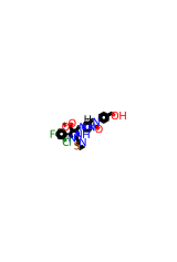 COC(=O)C1=C(CN2CCN3C(=O)N(c4ccc(CO)cc4)C[C@@H]3C2)NC(c2nccs2)=N[C@H]1c1ccc(F)cc1Cl